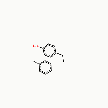 CCc1ccc(O)cc1.Cc1ccccc1